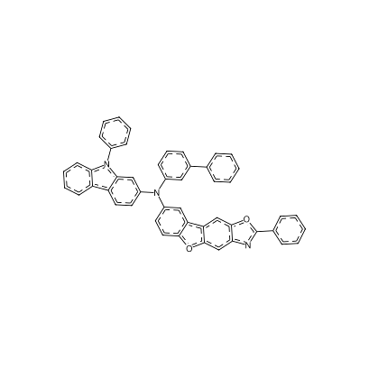 c1ccc(-c2cccc(N(c3ccc4oc5cc6nc(-c7ccccc7)oc6cc5c4c3)c3ccc4c5ccccc5n(-c5ccccc5)c4c3)c2)cc1